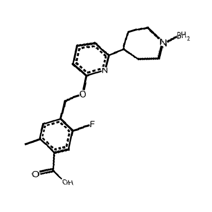 BN1CCC(c2cccc(OCc3cc(C)c(C(=O)O)cc3F)n2)CC1